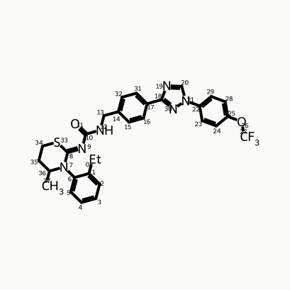 CCc1ccccc1N1/C(=N/C(=O)NCc2ccc(-c3ncn(-c4ccc(OC(F)(F)F)cc4)n3)cc2)SCCC1C